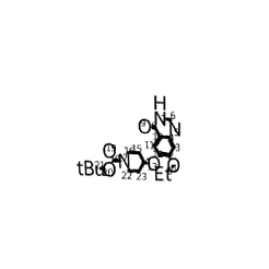 CCOc1cc2nc[nH]c(=O)c2cc1OC1CCN(C(=O)OC(C)(C)C)CC1